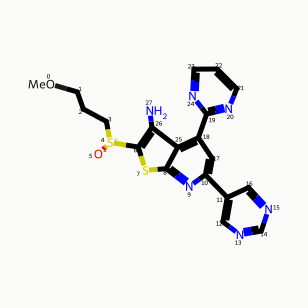 COCCC[S+]([O-])c1sc2nc(-c3cncnc3)cc(-c3ncccn3)c2c1N